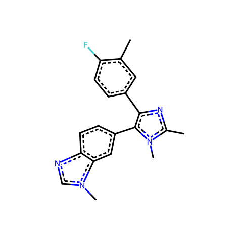 Cc1cc(-c2nc(C)n(C)c2-c2ccc3ncn(C)c3c2)ccc1F